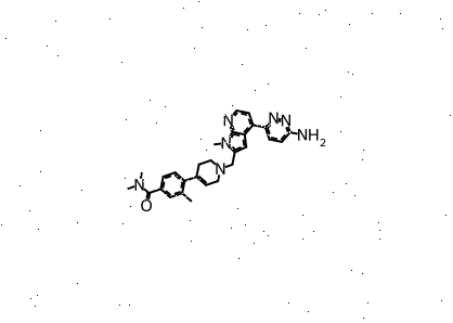 Cc1cc(C(=O)N(C)C)ccc1C1=CCN(Cc2cc3c(-c4ccc(N)nn4)ccnc3n2C)CC1